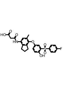 Cc1cc(NC(=O)CC(=O)O)c2c(c1Oc1ccc(O)c(S(=O)(=O)c3ccc(F)cc3)c1)CCC2